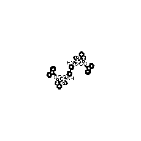 O=C(Nc1ccc(-c2ccc(NC(=O)[C@@H]3CCCN3C(=O)[C@H]3c4ccccc4CCN3C(=O)OCC3c4ccccc4-c4ccccc43)cc2)cc1)[C@@H]1CCCN1C(=O)[C@H]1c2ccccc2CCN1C(=O)OCC1c2ccccc2-c2ccccc21